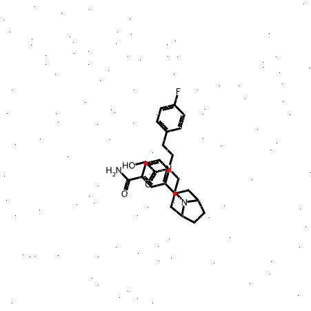 NC(=O)c1cccc(C2CC3CCC(C2)N3CCN(CCc2ccc(F)cc2)C(=O)CO)c1